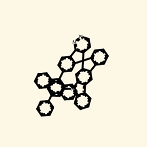 c1ccc(-c2c3ccccc3c(-c3ccc4c(c3)C3(c5ccccc5-c5cc6c7ccccc7n(-c7ccccc7)c6cc53)c3ccnnc3-4)c3ccccc23)cc1